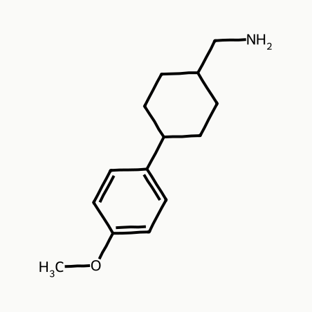 COc1ccc(C2CCC(CN)CC2)cc1